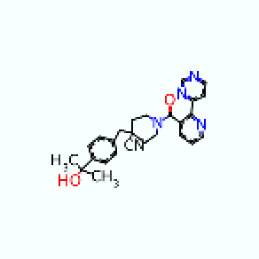 CC(C)(O)c1ccc(CC2(C#N)CCN(C(=O)c3cccnc3-c3ccncn3)CC2)cc1